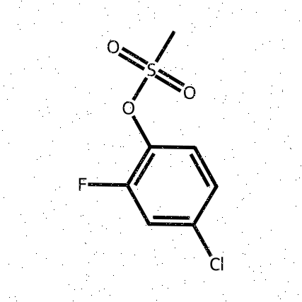 CS(=O)(=O)Oc1ccc(Cl)cc1F